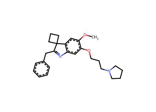 COc1cc2c(cc1OCCCN1CCCC1)N=C(Cc1ccccc1)C21CCC1